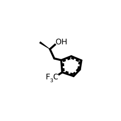 C[C@@H](O)Cc1ccccc1C(F)(F)F